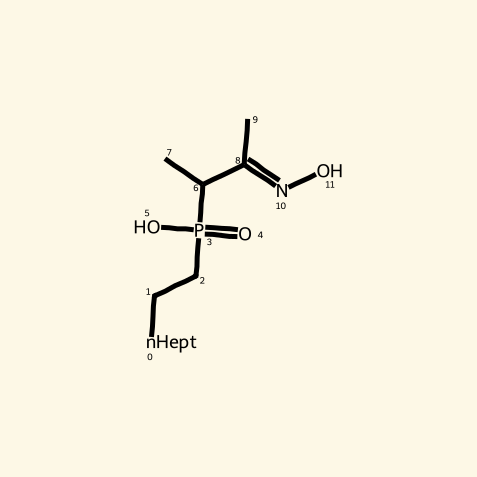 CCCCCCCCCP(=O)(O)C(C)C(C)=NO